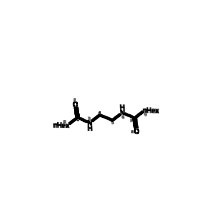 CCCCCCC(=O)NCCNC(=O)CCCCCC